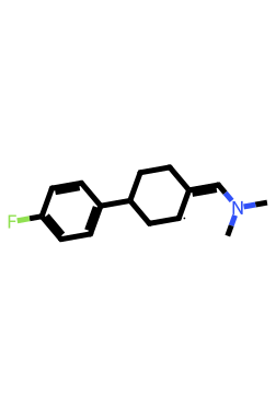 CN(C)C=C1[CH]CC(c2ccc(F)cc2)CC1